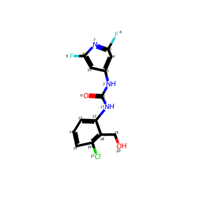 O=C(Nc1cc(F)nc(F)c1)Nc1cccc(Cl)c1CO